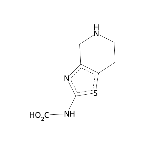 O=C(O)Nc1nc2c(s1)CCNC2